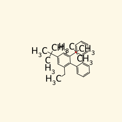 CCc1cc(C(C)(C)C)cc(C(C)(C)C)c1-c1ccccc1-c1ccccc1